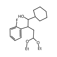 CCOC(CC(c1ccccc1F)C(O)C1CCCCC1)OCC